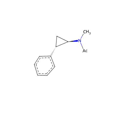 CC(=O)N(C)[C@@H]1C[C@H]1c1ccccc1